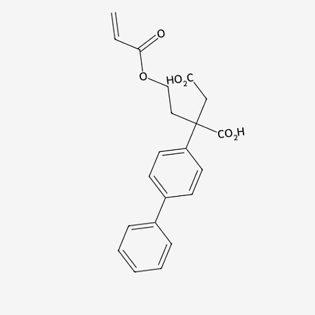 C=CC(=O)OCCC(CC(=O)O)(C(=O)O)c1ccc(-c2ccccc2)cc1